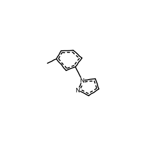 Cc1cccc(-n2cccn2)c1